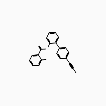 CC#Cc1ccc(-c2ccccc2NC(=O)c2ccccc2Cl)cc1